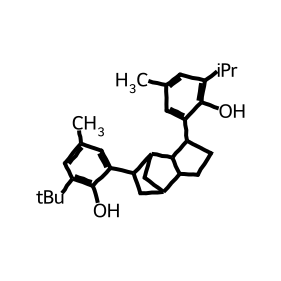 Cc1cc(C(C)C)c(O)c(C2CCC3C4CC(c5cc(C)cc(C(C)(C)C)c5O)C(C4)C23)c1